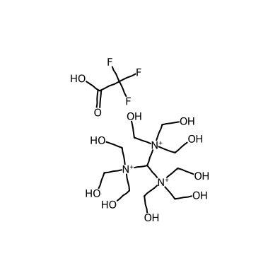 O=C(O)C(F)(F)F.OC[N+](CO)(CO)C([N+](CO)(CO)CO)[N+](CO)(CO)CO